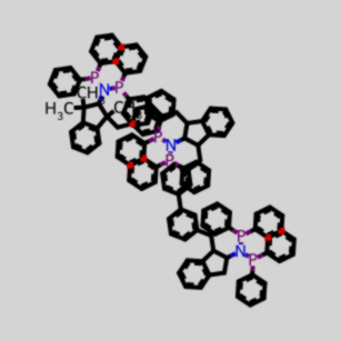 CC1(C)c2ccccc2C(C)(Cc2ccc(CC3c4ccccc4C(Cc4cccc(-c5cccc(CC6c7ccccc7CC6N(P(c6ccccc6)c6ccccc6)P(c6ccccc6)c6ccccc6)c5)c4)C3N(P(c3ccccc3)c3ccccc3)P(c3ccccc3)c3ccccc3)cc2)C1N(P(c1ccccc1)c1ccccc1)P(c1ccccc1)c1ccccc1